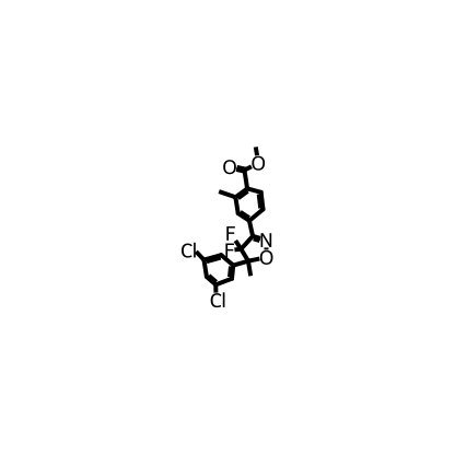 COC(=O)c1ccc(C2=NOC(C)(c3cc(Cl)cc(Cl)c3)C2(F)F)cc1C